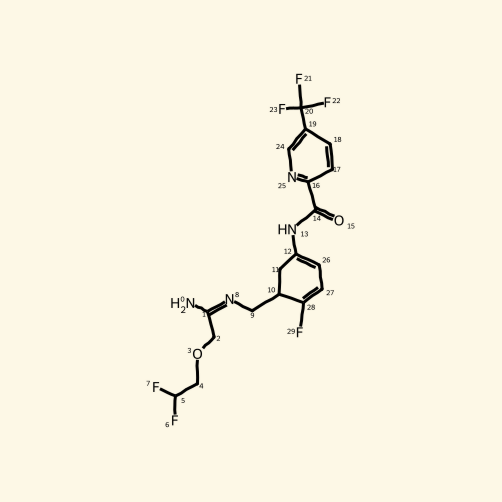 N/C(COCC(F)F)=N/CC1CC(NC(=O)c2ccc(C(F)(F)F)cn2)=CC=C1F